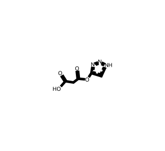 O=C(O)CC(=O)Oc1c[nH]nn1